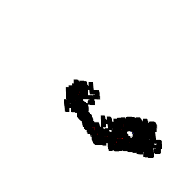 CO[C@H]1C[C@@H]2CC[C@@H](C)[C@@](O)(O2)C(=O)C(=O)N2CCCC[C@H]2C(=O)OC([C@H](N)C[C@@H]2CCC(n3nncc3-c3cccc(-c4cnc(N5CCN(Cc6cn(CCOCCOCCOCCC(=O)NCCCCn7nc(-c8ccc9oc(N)nc9c8)c8c(N)ncnc87)nn6)C(CO)C5)nc4)c3)[C@H](OC)C2)CC(=O)[C@H](C)/C=C(\C)[C@@H](O)[C@@H](O)C(=O)[C@H](C)C[C@H](C)/C=C/C=C/C=C/1C